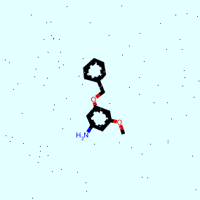 COc1cc(N)cc(OCc2ccccc2)c1